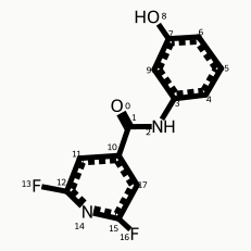 O=C(Nc1cccc(O)c1)c1cc(F)nc(F)c1